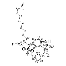 C=C/C=C\CCCCCCCC(CCCCCC)N(c1ccc2c(c1)C(=C(C)c1ccc[nH]1)C(=O)N2)S(N)(=O)=O